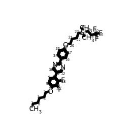 CCCCCCOc1ccc(-c2cnc(-c3ccc(OCCCC[Si](C)(C)CCC(F)(F)F)cc3)nc2)c(F)c1F